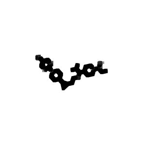 CC[S+]([O-])N1CCC(C(OCCC2CC2C2CCN(c3ncc(Cl)cn3)CC2)C(C)C)CC1